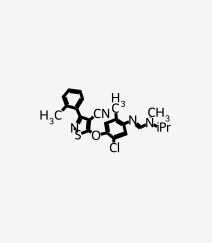 Cc1cc(Oc2snc(-c3ccccc3C)c2C#N)c(Cl)cc1N=CN(C)C(C)C